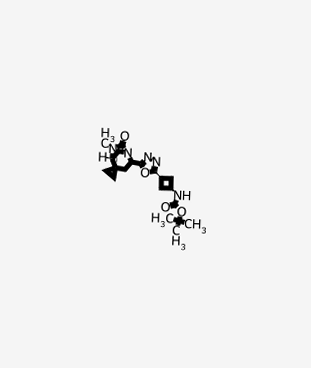 CN1C(=O)N2C[C@H]1C1(CC1)CC2c1nnc([C@H]2C[C@@H](NC(=O)OC(C)(C)C)C2)o1